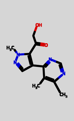 Cc1ncnc(-c2cnn(C)c2C(=O)CO)c1C